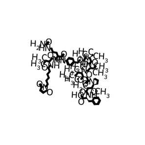 CC[C@H](C)[C@@H]([C@@H](CC(=O)N1CCC[C@H]1[C@H](OC)[C@@H](C)C(=O)N[C@@H](Cc1ccccc1)C(=O)O)OC)N(C)C(=O)C(NC(=O)[C@H](C(C)C)N(C)C(=O)OCc1ccc(NC(=O)C(CCCNC(N)=O)NC(=O)[C@@H](NC(=O)CCCCCN2C(=O)C=CC2=O)C(C)C)cc1)C(C)C